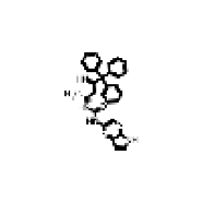 C[C@H](CC(=N)C(c1ccccc1)(c1ccccc1)c1ccccc1)NC(=O)Nc1cnc2[nH]ccc2n1